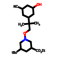 CCOC(=O)C1CC(C(C)(C)C)CN(OCC(C)(C)C2CC(O)CC(C#N)C2)C1